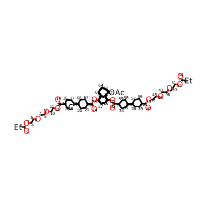 CCC(=O)OCCOCCOCCOC(=O)C1CCC(C2CCC(C(=O)Oc3ccc(OC(=O)C4CCC(C5CCC(C(=O)OCCOCCOCCOC(=O)CC)CC5)CC4)c4c(OC(C)=O)cccc34)CC2)CC1